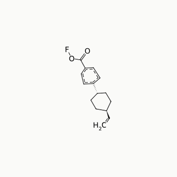 C=C[C@H]1CC[C@H](c2ccc(C(=O)OF)cc2)CC1